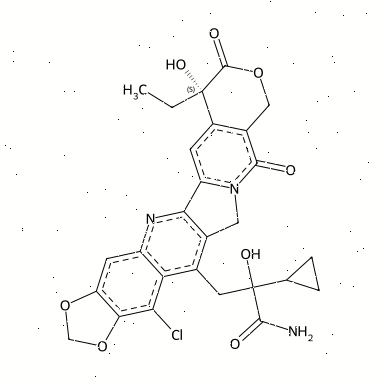 CC[C@@]1(O)C(=O)OCc2c1cc1n(c2=O)Cc2c-1nc1cc3c(c(Cl)c1c2CC(O)(C(N)=O)C1CC1)OCO3